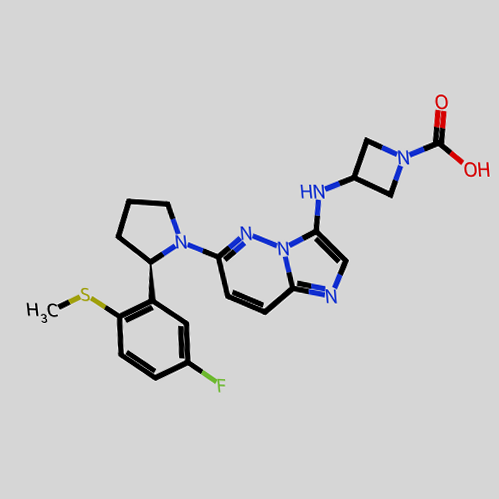 CSc1ccc(F)cc1[C@H]1CCCN1c1ccc2ncc(NC3CN(C(=O)O)C3)n2n1